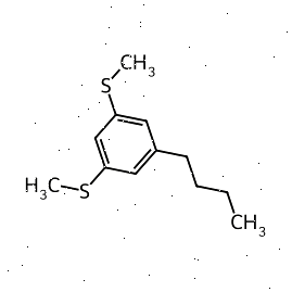 CCCCc1cc(SC)cc(SC)c1